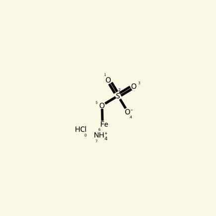 Cl.O=S(=O)([O-])[O][Fe].[NH4+]